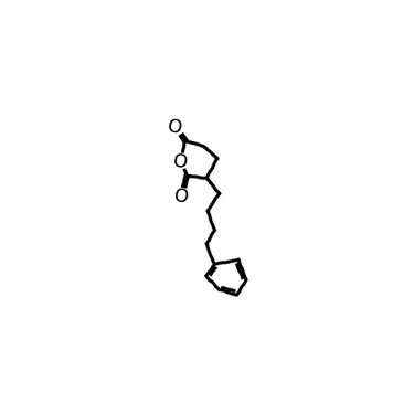 O=C1CCC(CCCCc2ccccc2)C(=O)O1